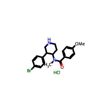 COc1ccc(C(=O)N(C)C2CCNCC2c2ccc(Br)cc2)cc1.Cl